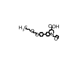 CCCCOCCOc1ccc(-c2ccc3c(c2)C=C(C(=O)O)CCN3Cc2ccco2)cc1